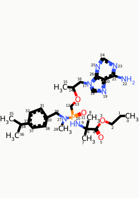 CCCOC(=O)C(C)(C)NP(=O)(COC(C)Cn1cnc2c(N)ncnc21)N(C)Cc1ccc(C(C)C)cc1